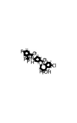 C[C@@]1(O)c2cc(Cl)ccc2N(C(=O)c2ccc(NC(=O)c3ccc(F)cc3C(F)(F)F)cc2)CCC1(F)F